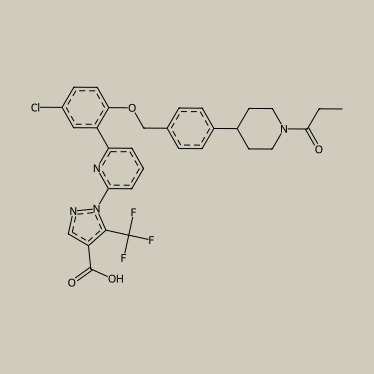 CCC(=O)N1CCC(c2ccc(COc3ccc(Cl)cc3-c3cccc(-n4ncc(C(=O)O)c4C(F)(F)F)n3)cc2)CC1